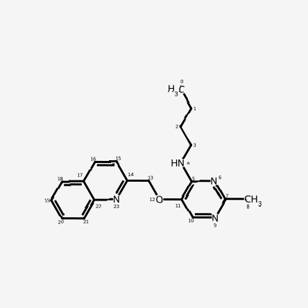 CCCCNc1nc(C)ncc1OCc1ccc2ccccc2n1